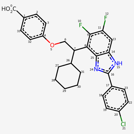 O=C(O)c1ccc(OCC(c2c(F)c(F)cc3[nH]c(-c4ccc(Cl)cc4)nc23)C2CCCCC2)cc1